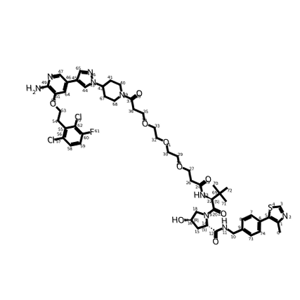 Cc1ncsc1-c1ccc(CNC(=O)[C@@H]2C[C@@H](O)CN2C(=O)[C@@H](NC(=O)CCOCCOCCOCCC(=O)N2CCC(n3cc(-c4cnc(N)c(OCCc5c(Cl)ccc(F)c5Cl)c4)cn3)CC2)C(C)(C)C)cc1